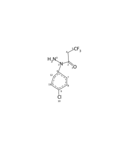 NN(C(=O)CC(F)(F)F)c1ccc(Cl)cc1